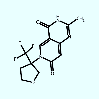 Cc1nc2cc(=O)n(C3(C(F)(F)F)CCOC3)cc2c(=O)[nH]1